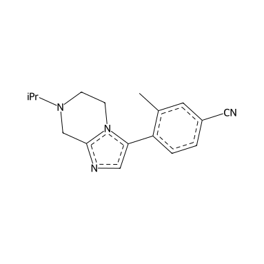 Cc1cc(C#N)ccc1-c1cnc2n1CCN(C(C)C)C2